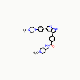 CN1CCC(CNC(=O)c2ccc(-c3c[nH]c4ncc(-c5ccc(N6CCN(C)CC6)cc5)cc34)cc2)CC1